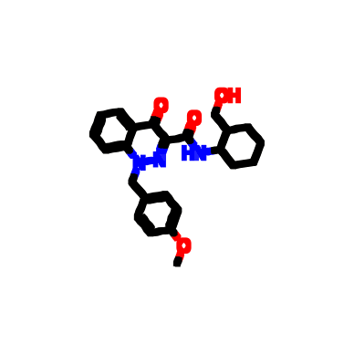 COc1ccc(Cn2nc(C(=O)NC3CCCCC3CO)c(=O)c3ccccc32)cc1